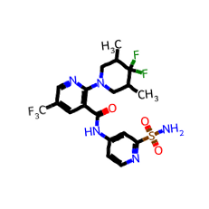 CC1CN(c2ncc(C(F)(F)F)cc2C(=O)Nc2ccnc(S(N)(=O)=O)c2)CC(C)C1(F)F